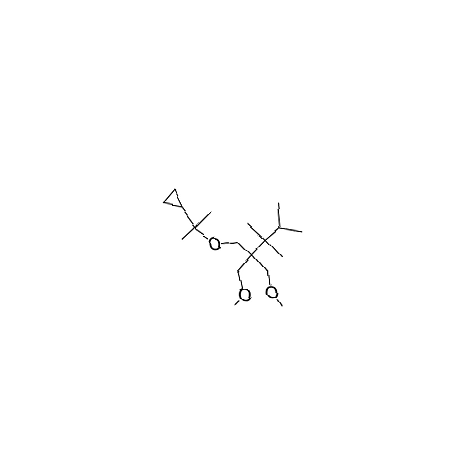 COCC(COC)(COC(C)(C)C1CC1)C(C)(C)C(C)C